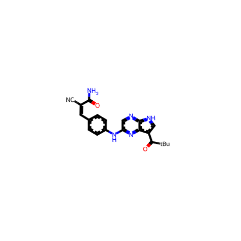 CC(C)(C)C(=O)c1c[nH]c2ncc(Nc3ccc(C=C(C#N)C(N)=O)cc3)nc12